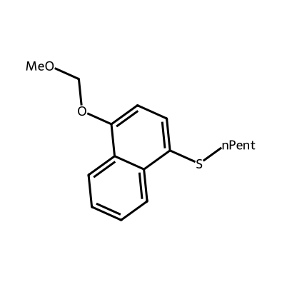 CCCCCSc1ccc(OCOC)c2ccccc12